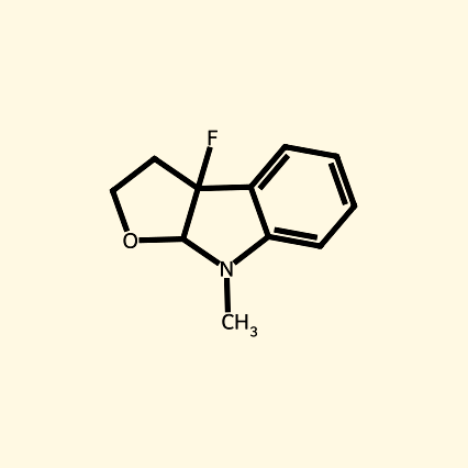 CN1c2ccccc2C2(F)CCOC12